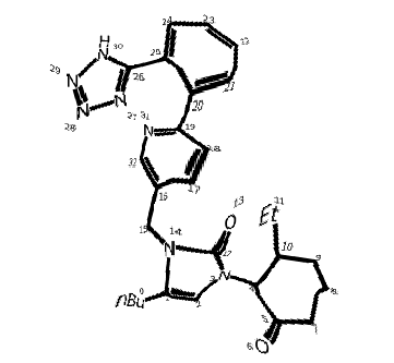 CCCCc1cn(C2C(=O)CCCC2CC)c(=O)n1Cc1ccc(-c2ccccc2-c2nnn[nH]2)nc1